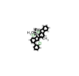 CCC1=Cc2c(-c3ccccc3Cl)cccc2[CH]1[Zr]([Cl])([Cl])([c]1cccc2c1Cc1ccccc1-2)[SiH](C)C